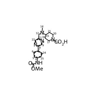 COC(=O)Nc1ccc(-c2cnc(CN(C)C3CCN(C(=O)O)CC3)cn2)cc1